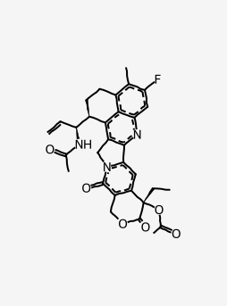 C=C[C@H](NC(C)=O)[C@H]1CCc2c(C)c(F)cc3nc4c(c1c23)Cn1c-4cc2c(c1=O)COC(=O)[C@@]2(CC)OC(C)=O